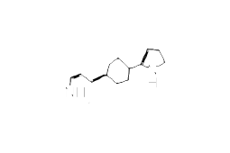 N/C=C\C=C1CCC(C2=CCCN2)CC1